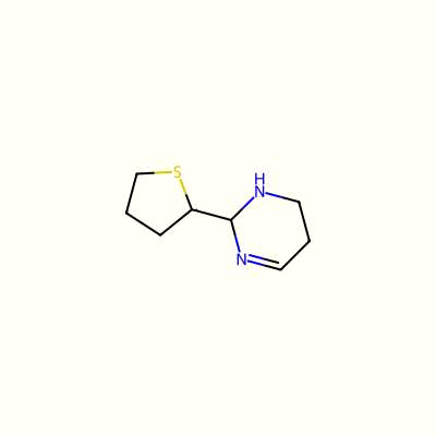 C1=NC([C]2CCCS2)NCC1